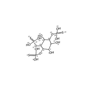 OC1C(O)C(OP(O)(O)=S)C(OP(O)(O)=S)C(O)C1OP(O)(O)=S